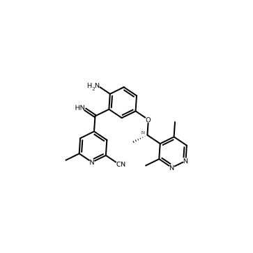 Cc1cc(C(=N)c2cc(O[C@@H](C)c3c(C)cnnc3C)ccc2N)cc(C#N)n1